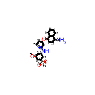 COc1cc(Nc2cc(Oc3ccc(N)c4ccccc34)ccn2)cc(S(C)(=O)=O)c1